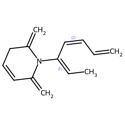 C=C/C=C\C(=C/C)N1C(=C)C=CCC1=C